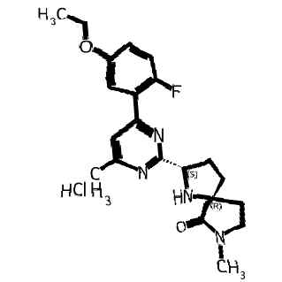 CCOc1ccc(F)c(-c2cc(C)nc([C@@H]3CC[C@]4(CCN(C)C4=O)N3)n2)c1.Cl